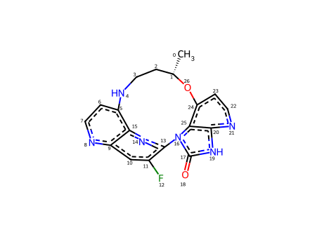 C[C@H]1CCNc2ccnc3cc(F)c(nc23)-n2c(=O)[nH]c3nccc(c32)O1